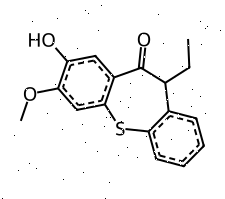 CCC1C(=O)c2cc(O)c(OC)cc2Sc2ccccc21